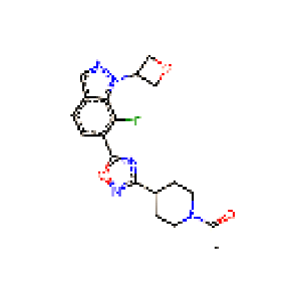 CC(C)C(=O)N1CCC(c2noc(-c3ccc4cnn(C5COC5)c4c3F)n2)CC1